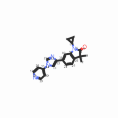 CC1(C)C(=O)N(C2CC2)c2cc(-c3cn(-c4ccncc4)cn3)ccc21